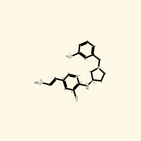 Cc1cccc(CN2CC[C@@H](Nc3ncc(/C=C/C(=O)O)cc3Cl)C2)c1